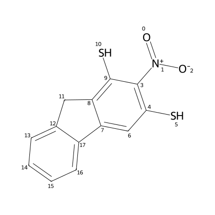 O=[N+]([O-])c1c(S)cc2c(c1S)Cc1ccccc1-2